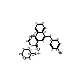 O=c1c2cc(Cc3ccc(Br)cc3)c3ccccc3c2ncn1[C@H]1CCOC[C@@H]1O